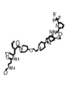 C\C=C/C(=C\C(=C\OC)NC(=O)CCNC=O)C(=O)N1CCC(OCCN2CCC(n3cc4cc(NC(=O)c5cccc(C(F)(F)F)n5)c(OC)cc4n3)CC2)CC1